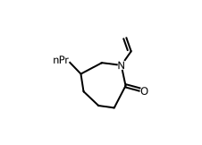 C=CN1CC(CCC)CCCC1=O